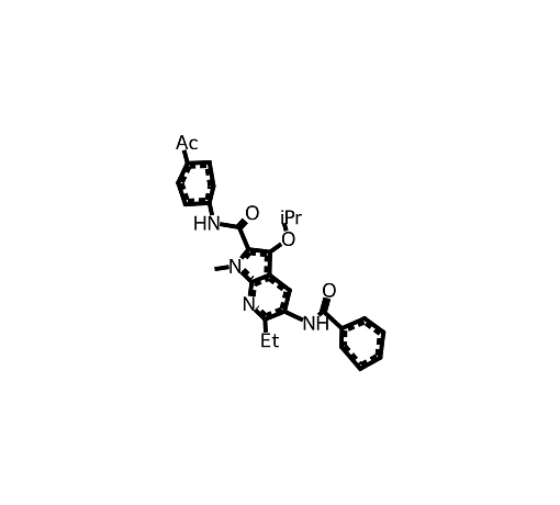 CCc1nc2c(cc1NC(=O)c1ccccc1)c(OC(C)C)c(C(=O)Nc1ccc(C(C)=O)cc1)n2C